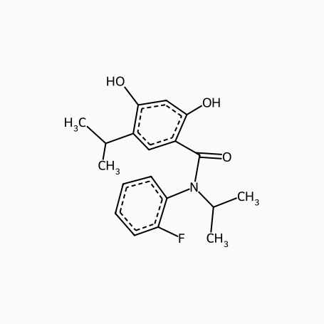 CC(C)c1cc(C(=O)N(c2ccccc2F)C(C)C)c(O)cc1O